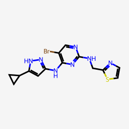 Brc1cnc(NCc2nccs2)nc1Nc1cc(C2CC2)[nH]n1